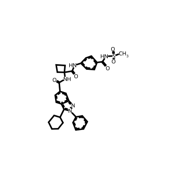 CS(=O)(=O)NC(=O)c1ccc(NC(=O)C2(NC(=O)c3ccc4c(C5CCCCC5)n(-c5ccccc5)nc4c3)CCC2)cc1